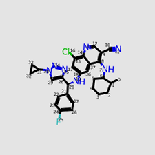 CC1CCCCC1Nc1c(C#N)cnc2c(Cl)cc(N[C@@H](c3ccc(F)cc3)c3cn(C4CC4)nn3)cc12